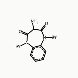 CC(C)N1C(=O)C(N)C(=O)N(C(C)C)c2ccccc21